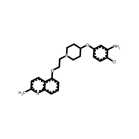 Cc1ccc2c(OCCN3CCC(Oc4ccc(Cl)c(N)c4)CC3)cccc2n1